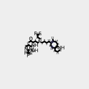 CC(=O)C(CCN(CCCCC1=C(\C)CCC2=C(/C=C\1)CCCN2)CCC(F)F)Nc1ccnc(C(F)(F)F)[n+]1O